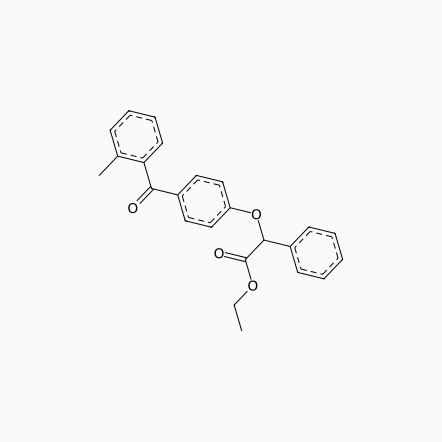 CCOC(=O)C(Oc1ccc(C(=O)c2ccccc2C)cc1)c1ccccc1